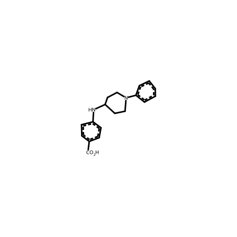 O=C(O)c1ccc(NC2CCN(c3ccccc3)CC2)cc1